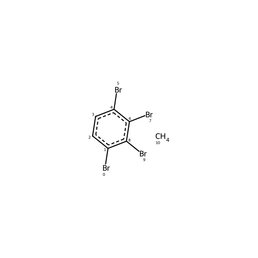 Brc1ccc(Br)c(Br)c1Br.C